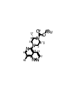 C[C@@H]1CN(c2ncc(I)c3nnccc23)C[C@H](C)N1C(=O)OC(C)(C)C